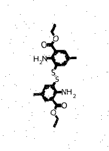 CCOC(=O)c1cc(C)cc(SSc2cc(C)cc(C(=O)OCC)c2N)c1N